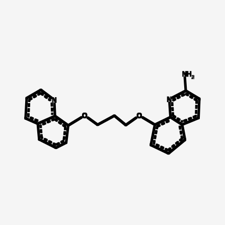 Nc1ccc2cccc(OCCCOc3cccc4cccnc34)c2n1